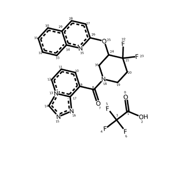 O=C(O)C(F)(F)F.O=C(c1cccn2cnnc12)N1CCC(F)(F)C(Oc2ccc3ccccc3n2)C1